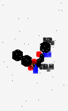 O=C(CC[C@H](NS(=O)(=O)c1ccc(-c2ccccc2)cc1)C(=O)O)Nc1ccc([N+](=O)[O-])cc1